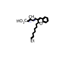 CCC=CCCCCCC1Oc2ccccc2C=C1/C=C/C(C)=C/C(=O)O